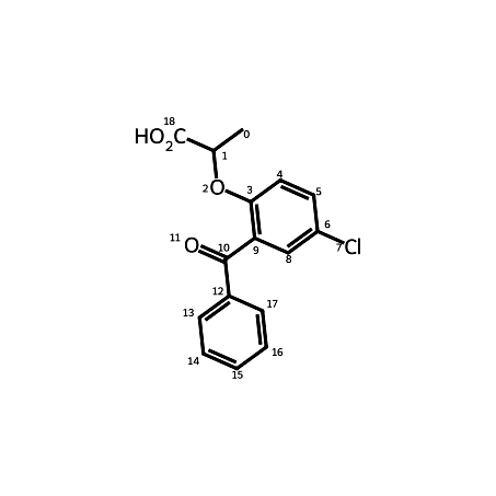 CC(Oc1ccc(Cl)cc1C(=O)c1ccccc1)C(=O)O